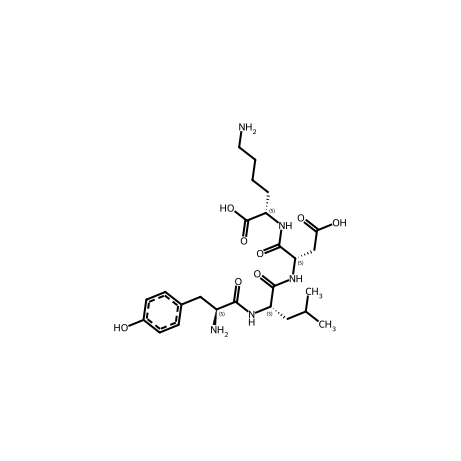 CC(C)C[C@H](NC(=O)[C@@H](N)Cc1ccc(O)cc1)C(=O)N[C@@H](CC(=O)O)C(=O)N[C@@H](CCCCN)C(=O)O